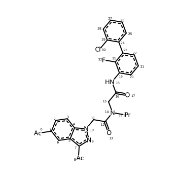 CC(=O)c1ccc2c(c1)c(C(C)=O)nn2CC(=O)N(CC(=O)Nc1cccc(-c2ccccc2Cl)c1F)C(C)C